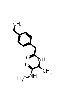 CCc1ccc(CC(=O)NC(C)C(=O)NC)cc1